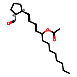 CCCCCCCCC(C=CC=C[C@@H]1CCC[C@H]1C=O)OC(C)=O